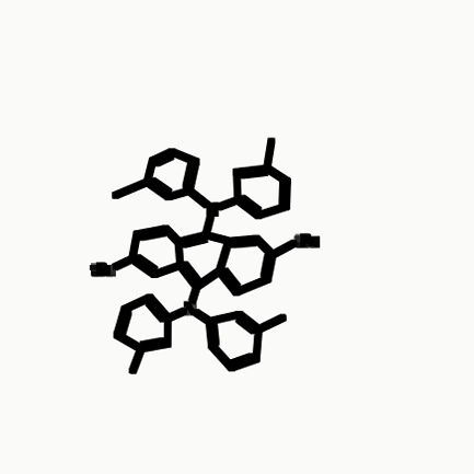 Cc1cccc(N(c2cccc(C)c2)c2c3ccc(C(C)(C)C)cc3c(N(c3cccc(C)c3)c3cccc(C)c3)c3ccc(C(C)(C)C)cc23)c1